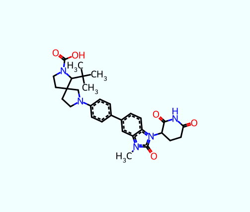 Cn1c(=O)n(C2CCC(=O)NC2=O)c2ccc(-c3ccc(N4CCC5(CCN(C(=O)O)C5C(C)(C)C)C4)cc3)cc21